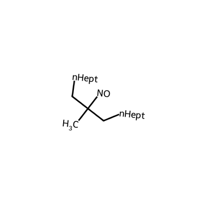 CCCCCCCCC(C)(CCCCCCCC)N=O